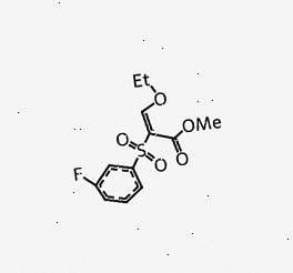 CCOC=C(C(=O)OC)S(=O)(=O)c1cccc(F)c1